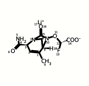 CC1=C[C@@H](C(N)=O)N2C[C@@H]1N(O[C@@H](F)C(=O)[O-])C2=O.[Li+]